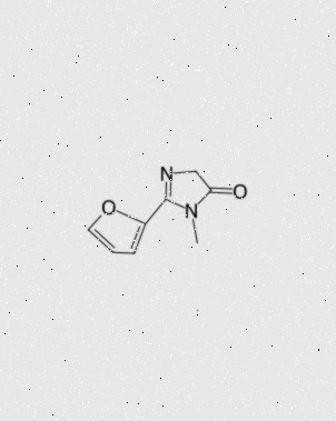 CN1C(=O)CN=C1c1ccco1